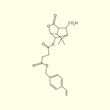 C=Cc1ccc(COC(=O)CCC(=O)OC2C3OC(=O)C4C(C(=O)O)C2C(C)(C)C34)cc1